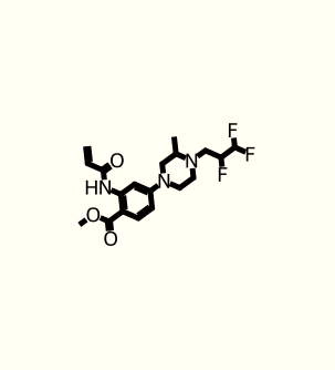 C=CC(=O)Nc1cc(N2CCN(CC(F)C(F)F)C(C)C2)ccc1C(=O)OC